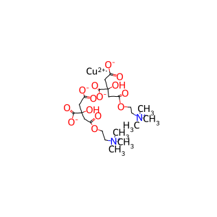 C[N+](C)(C)CCOC(=O)CC(O)(CC(=O)[O-])C(=O)[O-].C[N+](C)(C)CCOC(=O)CC(O)(CC(=O)[O-])C(=O)[O-].[Cu+2]